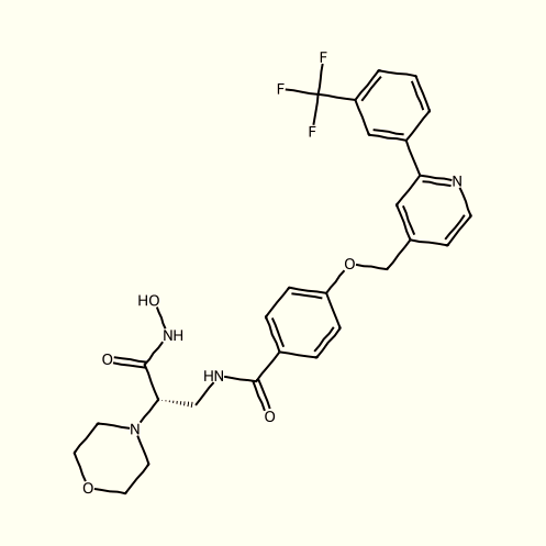 O=C(NC[C@@H](C(=O)NO)N1CCOCC1)c1ccc(OCc2ccnc(-c3cccc(C(F)(F)F)c3)c2)cc1